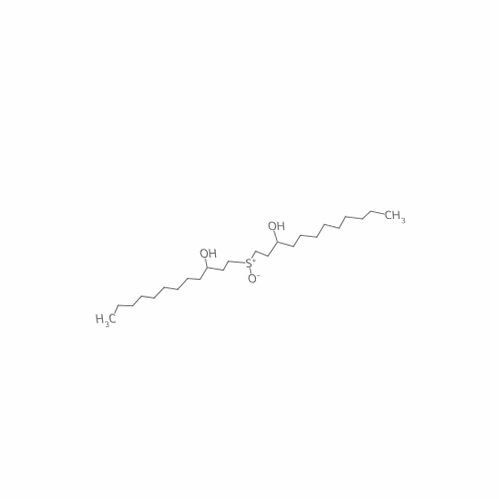 CCCCCCCCCC(O)CC[S+]([O-])CCC(O)CCCCCCCCC